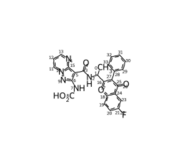 CC(NC(=O)c1c(NC(=O)O)nn2cccnc12)c1oc2ccc(F)cc2c(=O)c1-c1ccccc1